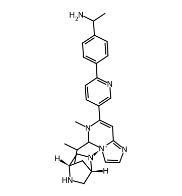 CC(N)c1ccc(-c2ccc(C3=CC4=NC=C[N@+]4(N4C[C@@H]5C[C@H]4CN5)C(C(C)C)N3C)cn2)cc1